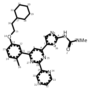 CNC(=O)Nc1ncc(-c2cc(-c3cc(OCCC4CCCCC4)ccc3C)nc(-c3cnccn3)n2)s1